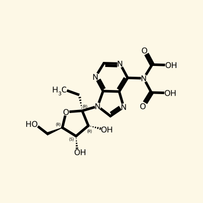 CC[C@@]1(n2cnc3c(N(C(=O)O)C(=O)O)ncnc32)O[C@H](CO)[C@@H](O)[C@H]1O